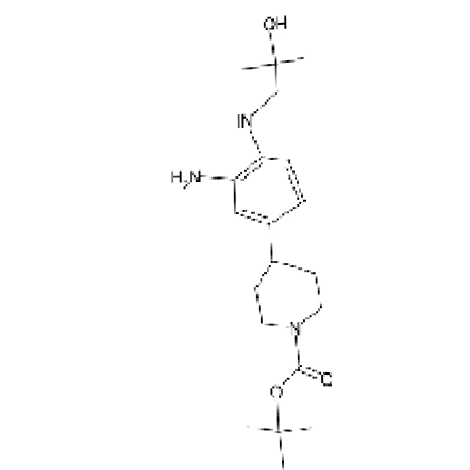 CC(C)(O)CNc1ccc(C2CCN(C(=O)OC(C)(C)C)CC2)cc1N